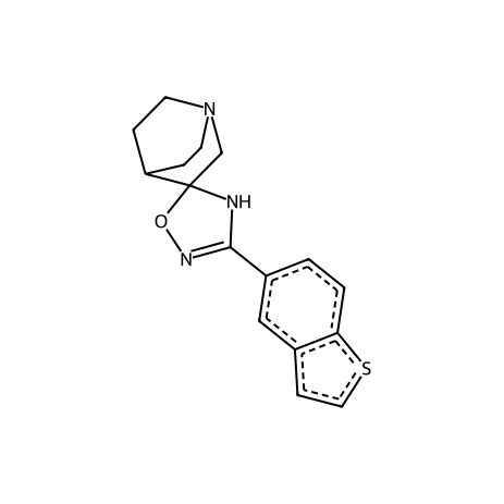 c1cc2cc(C3=NOC4(CN5CCC4CC5)N3)ccc2s1